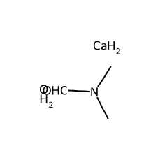 CN(C)C=O.O.[CaH2]